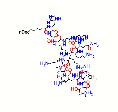 CCCCCCCCCCCCCCCC(=O)N[C@@H](Cc1cnc[nH]1)C(=O)N[C@@H](CO)C(=O)N[C@@H](CCCCN)C(=O)NCC(=O)N[C@@H](Cc1cnc[nH]1)C(=O)N[C@@H](CCC(N)=O)C(=O)N[C@@H](CCCCN)C(=O)N[C@@H](CCCNC(=N)N)C(=O)N[C@@H](CCCCN)C(=O)N[C@@H](C)C(=O)N[C@@H](CC(C)C)C(=O)N[C@@H](CCCCN)C(=O)N[C@H](C(=O)N[C@H](C(N)=O)[C@@H](C)O)[C@@H](C)O